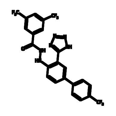 O=C(NNc1ccc(-c2ccc(C(F)(F)F)cc2)cc1-c1nnn[nH]1)c1cc(C(F)(F)F)cc(C(F)(F)F)c1